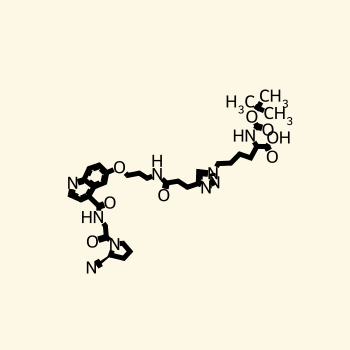 CC(C)(C)OC(=O)NC(CCCCn1cc(CCC(=O)NCCCOc2ccc3nccc(C(=O)NCC(=O)N4CCC[C@H]4C#N)c3c2)nn1)C(=O)O